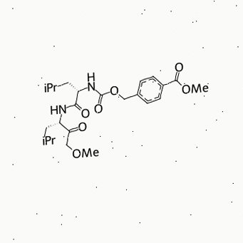 COCC(=O)[C@H](CC(C)C)NC(=O)[C@H](CC(C)C)NC(=O)OCc1ccc(C(=O)OC)cc1